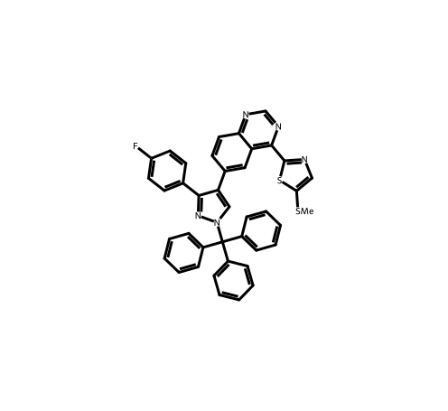 CSc1cnc(-c2ncnc3ccc(-c4cn(C(c5ccccc5)(c5ccccc5)c5ccccc5)nc4-c4ccc(F)cc4)cc23)s1